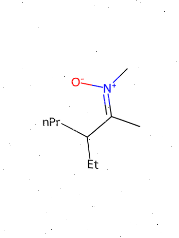 CCCC(CC)C(C)=[N+](C)[O-]